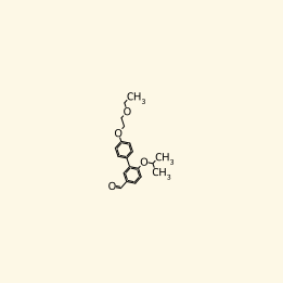 CCOCCOc1ccc(-c2cc(C=O)ccc2OC(C)C)cc1